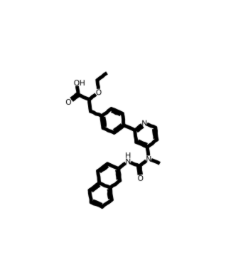 CCOC(Cc1ccc(-c2cc(N(C)C(=O)Nc3ccc4ccccc4c3)ccn2)cc1)C(=O)O